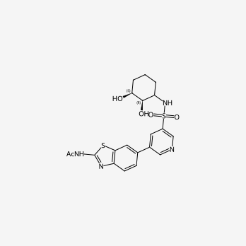 CC(=O)Nc1nc2ccc(-c3cncc(S(=O)(=O)NC4CCC[C@H](O)[C@@H]4O)c3)cc2s1